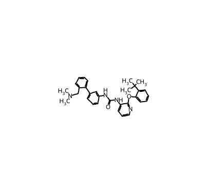 CN(C)Cc1ccccc1-c1cccc(NC(=O)Nc2cccnc2Oc2ccccc2C(C)(C)C)c1